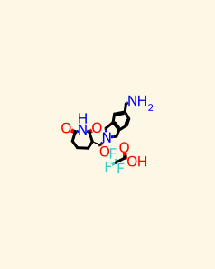 NCc1ccc2c(c1)CN(C(=O)[C@H]1CCCC(=O)NC1=O)C2.O=C(O)C(F)(F)F